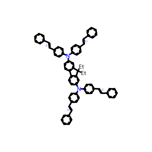 CCC1(CC)c2cc(N(c3ccc(/C=C/c4ccccc4)cc3)c3ccc(/C=C/c4ccccc4)cc3)ccc2-c2ccc(N(c3ccc(/C=C/c4ccccc4)cc3)c3ccc(/C=C/c4ccccc4)cc3)cc21